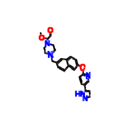 CO[C@@H](C=O)N1CCN(Cc2ccc3cc(Oc4ccc(-c5ccn[nH]5)cn4)ccc3c2)CC1